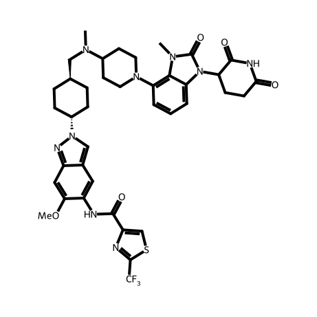 COc1cc2nn([C@H]3CC[C@H](CN(C)C4CCN(c5cccc6c5n(C)c(=O)n6C5CCC(=O)NC5=O)CC4)CC3)cc2cc1NC(=O)c1csc(C(F)(F)F)n1